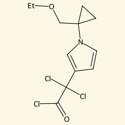 CCOCC1(n2ccc(C(Cl)(Cl)C(=O)Cl)c2)CC1